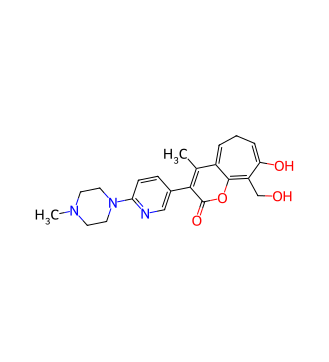 Cc1c(-c2ccc(N3CCN(C)CC3)nc2)c(=O)oc2c1=CCC=C(O)C=2CO